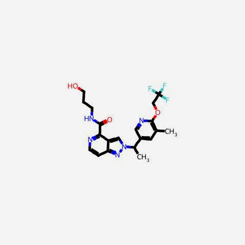 Cc1cc(C(C)n2cc3c(C(=O)NCCCO)nccc3n2)cnc1OCC(F)(F)F